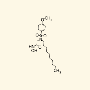 CCCCCCCCCCN(CC(=O)NO)S(=O)(=O)c1ccc(OC)cc1